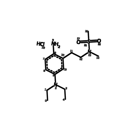 CCN(CC)c1ccc(N)c(CCN(C)S(C)(=O)=O)c1.Cl